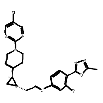 Cc1nnc(-c2ccc(OCC[C@@H]3C[C@H]3C3CCN(c4ncc(Cl)cn4)CC3)cc2F)o1